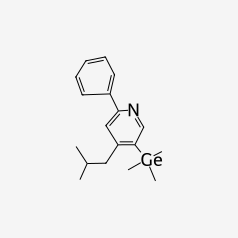 CC(C)Cc1cc(-c2ccccc2)nc[c]1[Ge]([CH3])([CH3])[CH3]